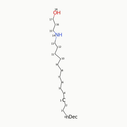 CCCCCCCCCCCCCCCCCCCCCCCNCCCO